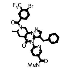 CNC(=O)c1ccc(-n2c(=O)c3c(n4ncc(Cc5ccccc5)c24)CN(C(=O)c2ccc(Br)c(C(F)(F)F)c2)[C@H](C)C3)nc1